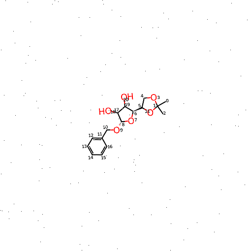 CC1(C)OCC([C@H]2O[C@H](OCc3ccccc3)C(O)C2O)O1